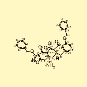 N[C@@H]1c2onc(OCc3ccccc3)c2C(=O)[C@@]2(O)C(O)=C3C(=O)c4c(cncc4OCc4ccccc4)C[C@H]3C[C@@H]12